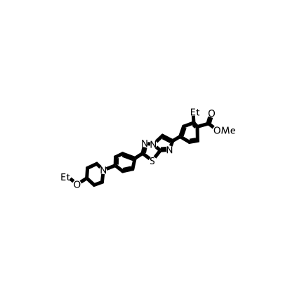 CCOC1CCN(c2ccc(-c3nn4cc(-c5ccc(C(=O)OC)c(CC)c5)nc4s3)cc2)CC1